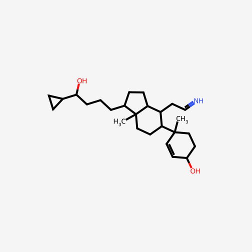 CC1(C2CCC3(C)C(CCCC(O)C4CC4)CCC3C2CC=N)C=CC(O)CC1